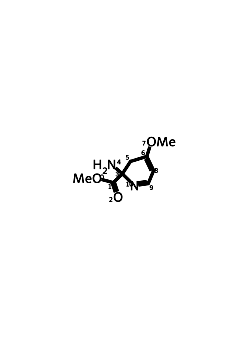 COC(=O)C1(N)CC(OC)=CC=N1